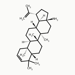 C=C(C)[C@@H]1CC[C@]2(N)CC[C@]3(C)[C@H](CC[C@@H]4[C@]5(C)CC=[C]C(C)(C)[C@H]5CC[C@]43C)[C@@H]12